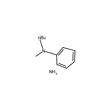 CCCCN(C)c1ccccc1.N